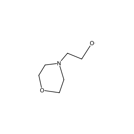 [O]CCN1CCOCC1